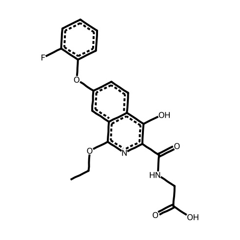 CCOc1nc(C(=O)NCC(=O)O)c(O)c2ccc(Oc3ccccc3F)cc12